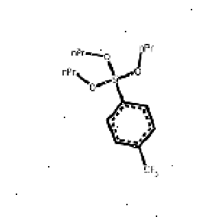 CCCO[Si](OCCC)(OCCC)c1ccc(C(F)(F)F)cc1